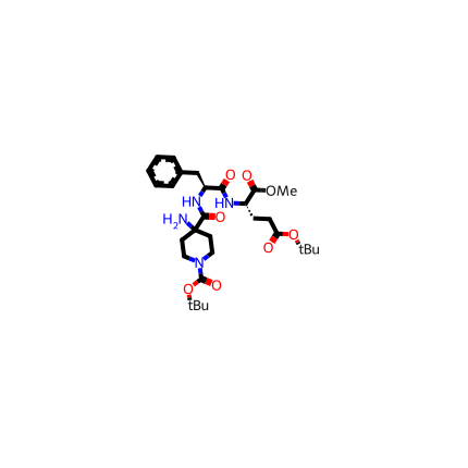 COC(=O)[C@H](CCC(=O)OC(C)(C)C)NC(=O)[C@H](Cc1ccccc1)NC(=O)C1(N)CCN(C(=O)OC(C)(C)C)CC1